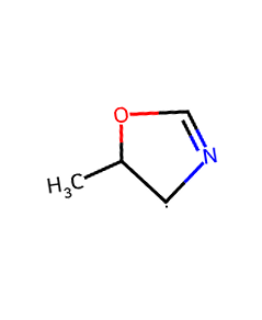 CC1[CH]N=CO1